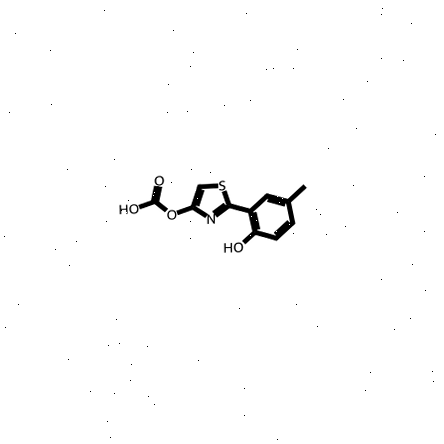 Cc1ccc(O)c(-c2nc(OC(=O)O)cs2)c1